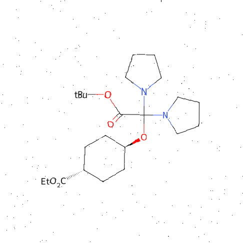 CCOC(=O)[C@H]1CC[C@H](OC(C(=O)OC(C)(C)C)(N2CCCC2)N2CCCC2)CC1